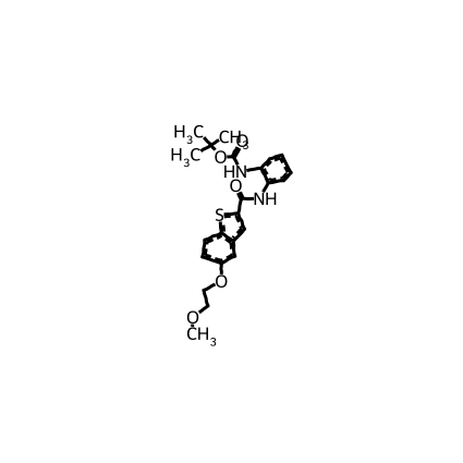 COCCOc1ccc2sc(C(=O)Nc3ccccc3NC(=O)OC(C)(C)C)cc2c1